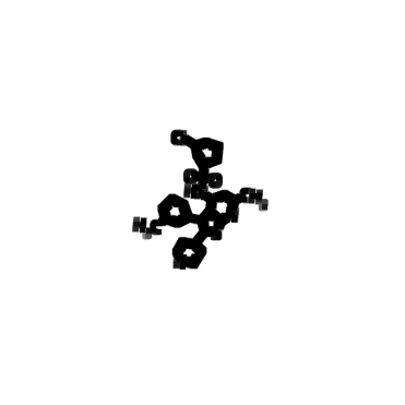 Cc1cccc(-c2c(-c3ccncc3)sc3nc(C)cc(NS(=O)(=O)c4cccc(Cl)c4)c23)c1